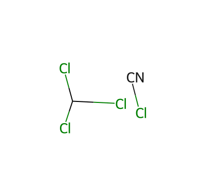 ClC(Cl)Cl.N#CCl